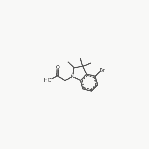 CC1N(CC(=O)O)c2cccc(Br)c2C1(C)C